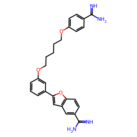 N=C(N)c1ccc(OCCCCCOc2cccc(-c3cc4cc(C(=N)N)ccc4o3)c2)cc1